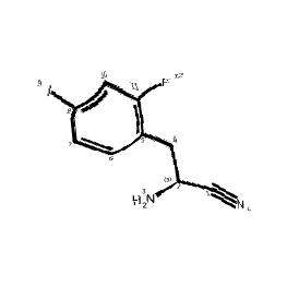 N#C[C@@H](N)Cc1ccc(I)cc1F